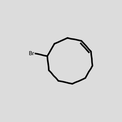 BrC1CC/C=C\CCCCC1